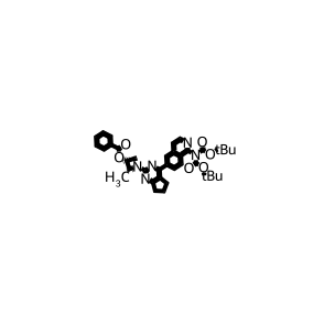 C[C@H]1[C@H](OC(=O)c2ccccc2)CN1c1nc2c(c(-c3ccc4c(N(C(=O)OC(C)(C)C)C(=O)OC(C)(C)C)nccc4c3)n1)CCC2